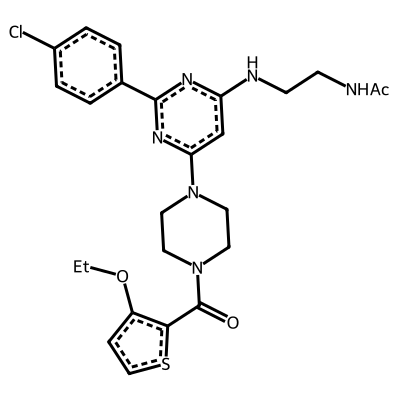 CCOc1ccsc1C(=O)N1CCN(c2cc(NCCNC(C)=O)nc(-c3ccc(Cl)cc3)n2)CC1